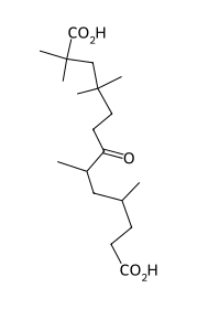 CC(CCC(=O)O)CC(C)C(=O)CCC(C)(C)CC(C)(C)C(=O)O